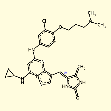 C=c1[nH]c(=O)[nH]/c1=C\c1cnn2c(NC3CC3)cc(Nc3ccc(OCCCN(C)C)c(Cl)c3)nc12